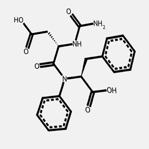 NC(=O)N[C@@H](CC(=O)O)C(=O)N(c1ccccc1)[C@@H](Cc1ccccc1)C(=O)O